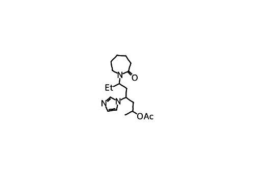 CCC(CC(CC(C)OC(C)=O)n1ccnc1)N1CCCCCC1=O